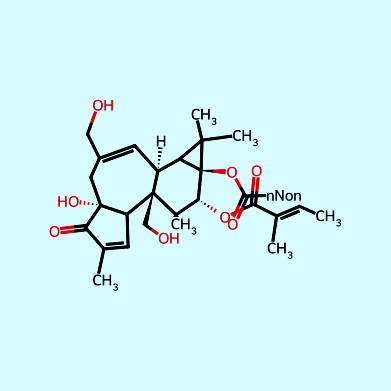 C/C=C(\C)C(=O)O[C@@H]1[C@@H](C)[C@]2(CO)C3C=C(C)C(=O)[C@@]3(O)CC(CO)=C[C@H]2C2C(C)(C)[C@@]21OC(=O)CCCCCCCCC